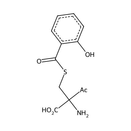 CC(=O)C(N)(CSC(=O)c1ccccc1O)C(=O)O